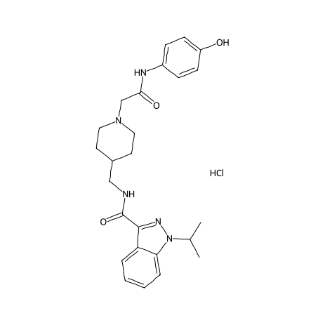 CC(C)n1nc(C(=O)NCC2CCN(CC(=O)Nc3ccc(O)cc3)CC2)c2ccccc21.Cl